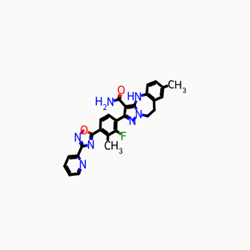 Cc1ccc2c(c1)CCn1nc(-c3ccc(-c4nc(-c5ccccn5)no4)c(C)c3F)c(C(N)=O)c1N2